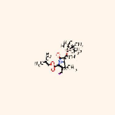 CC(C)COC(=O)C1=C(CI)[C@H](C)C2[C@@H]([C@@H](C)O[Si](C)(C)C(C)(C)C)C(=O)N12